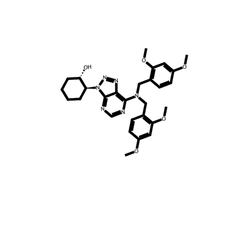 COc1ccc(CN(Cc2ccc(OC)cc2OC)c2ncnc3c2nnn3[C@H]2CCCC[C@@H]2O)c(OC)c1